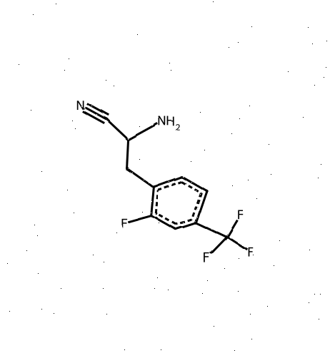 N#CC(N)Cc1ccc(C(F)(F)F)cc1F